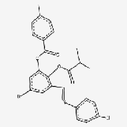 Cc1ccc(C(=O)Oc2cc(Br)cc(C=Nc3ccc(Cl)cc3)c2OC(=O)C(C)C)cc1